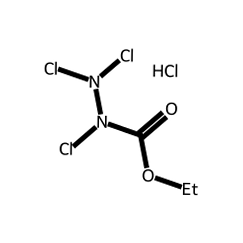 CCOC(=O)N(Cl)N(Cl)Cl.Cl